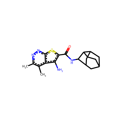 Cc1nnc2sc(C(=O)NC3C4CC5CCC3C(C5)C4)c(N)c2c1C